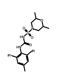 Cc1cc(C(C)C)c(NC(=O)NS(=O)(=O)N2CC(C)OC(C)C2)c(C(C)C)c1